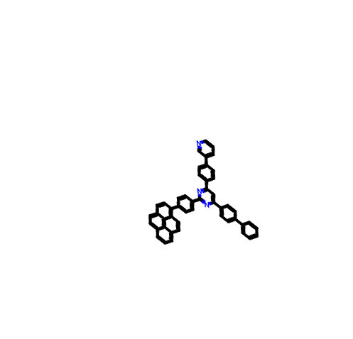 c1ccc(-c2ccc(-c3cc(-c4ccc(-c5cccnc5)cc4)nc(-c4ccc(-c5ccc6ccc7cccc8ccc5c6c78)cc4)n3)cc2)cc1